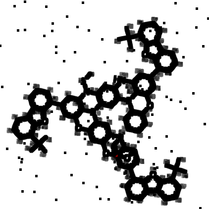 CSN1c2cc3c(cc2B2c4cc5c(cc4Oc4cc(-c6cccc7c6oc6c(C(C)(C)C)cccc67)cc1c42)Oc1cc(-c2cccc4c2oc2c(C(C)(C)C)cccc24)cc2c1B5c1ccccc1O2)B1c2ccccc2Oc2cc(-c4cccc5c4oc4c(C(C)(C)C)cccc45)cc(c21)N3